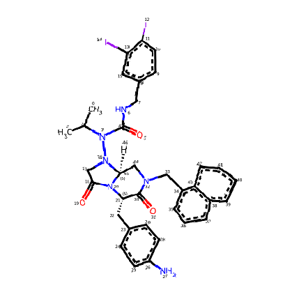 CC(C)N(C(=O)NCc1ccc(I)c(I)c1)N1CC(=O)N2[C@@H](Cc3ccc(N)cc3)C(=O)N(Cc3cccc4ccccc34)C[C@@H]21